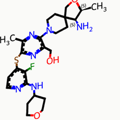 Cc1nc(N2CCC3(CC2)CO[C@@H](C)[C@H]3N)c(CO)nc1Sc1ccnc(NC2CCOCC2)c1F